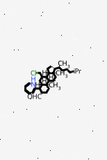 CC(C)CCC[C@@H](C)[C@H]1CC[C@H]2[C@@H]3C(CCl)C[C@H]4C(C5=CC=CC=CN5)C(C=O)CC[C@]4(C)[C@H]3CC[C@]12C